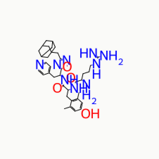 Cc1cc(O)cc(C)c1CC(NC(=O)C(N)CCCNC(=N)N)C(=O)NC(Cc1ccncc1)c1nc(CC23CC4CC(CC(C4)C2)C3)no1